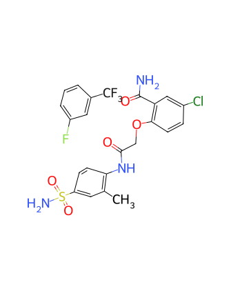 Cc1cc(S(N)(=O)=O)ccc1NC(=O)COc1ccc(Cl)cc1C(N)=O.Fc1cccc(C(F)(F)F)c1